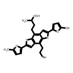 CCCCCCCCC(C)CCc1c2cc(-c3ccc(C#N)o3)sc2c(CCC(C)CC)c2cc(-c3ccc(C)o3)sc12